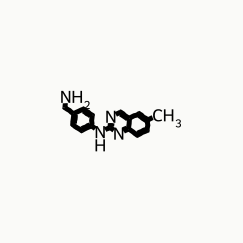 Cc1ccc2nc(Nc3ccc(CN)cc3)ncc2c1